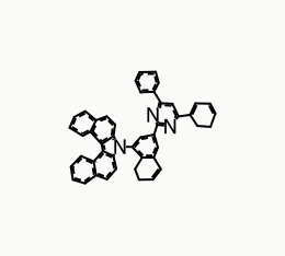 C1=CCCC(c2cc(-c3ccccc3)nc(-c3cc4c(c(-n5c6ccc7ccccc7c6c6c7ccccc7ccc65)c3)CCC=C4)n2)=C1